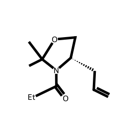 C=CC[C@H]1COC(C)(C)N1C(=O)CC